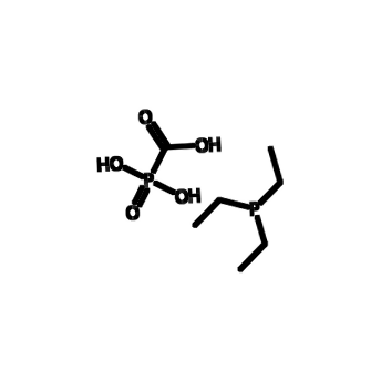 CCP(CC)CC.O=C(O)P(=O)(O)O